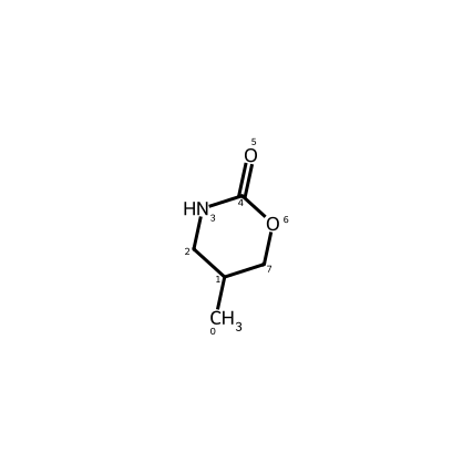 CC1CNC(=O)OC1